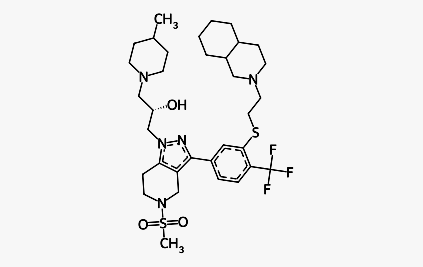 CC1CCN(C[C@H](O)Cn2nc(-c3ccc(C(F)(F)F)c(SCCN4CCC5CCCCC5C4)c3)c3c2CCN(S(C)(=O)=O)C3)CC1